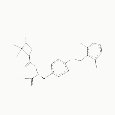 COC(=O)[C@H](Cc1ccc(OCc2c(Cl)cccc2Cl)cc1)NC(=O)C1CC(C(C)=O)C1(C)C